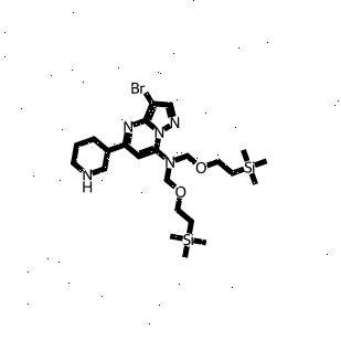 C[Si](C)(C)CCOCN(COCC[Si](C)(C)C)c1cc(C2CCCNC2)nc2c(Br)cnn12